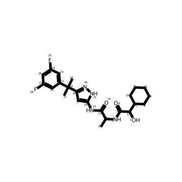 CC(NC(=O)C(O)C1CCCCC1)C(=O)Nc1cc(C(C)(C)c2cc(F)cc(F)c2)n[nH]1